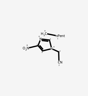 CCCCCC.N#CCn1cnc([N+](=O)[O-])c1